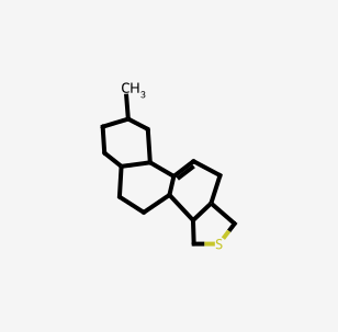 CC1CCC2CCC3C(=CCC4CSCC43)C2C1